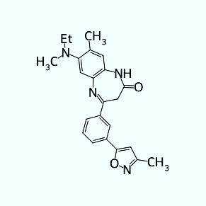 CCN(C)c1cc2c(cc1C)NC(=O)CC(c1cccc(-c3cc(C)no3)c1)=N2